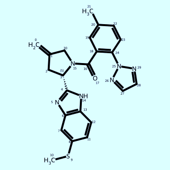 C=C1C[C@@H](c2nc3cc(SC)ccc3[nH]2)N(C(=O)c2cc(C)ccc2-n2nccn2)C1